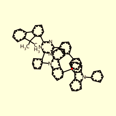 CC1(C)c2ccccc2-c2cccc(-c3nc(-c4cccc(-c5ccccc5)c4)nc(-c4ccccc4-n4c5ccccc5c5c(-c6cccc7c6c6ccccc6n7-c6ccccc6)cccc54)n3)c21